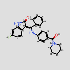 O=C1Nc2cc(F)ccc2C1=C(Nc1ccc(C(=O)N2CCCCC2)cc1)c1ccccc1